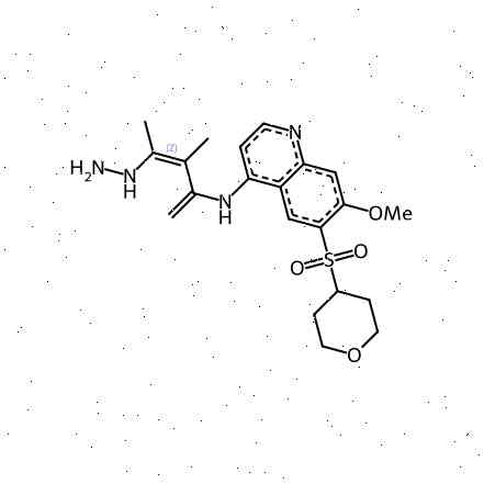 C=C(Nc1ccnc2cc(OC)c(S(=O)(=O)C3CCOCC3)cc12)/C(C)=C(/C)NN